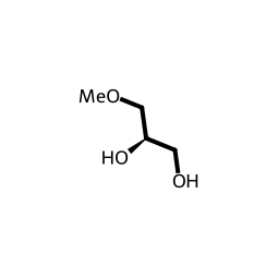 COC[C@H](O)CO